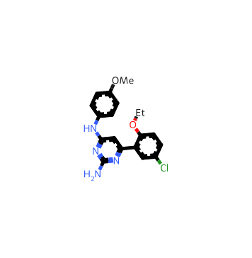 CCOc1ccc(Cl)cc1-c1cc(Nc2ccc(OC)cc2)nc(N)n1